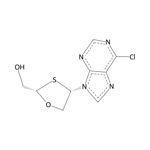 OC[C@H]1OC[C@@H](n2cnc3c(Cl)ncnc32)S1